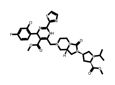 COC(=O)C1=C(CN2CCN3C(=O)N([C@@H]4C[C@H](C(=O)OC)N(C(C)C)C4)C[C@@H]3C2)NC(c2nccs2)=NC1c1ccc(F)cc1Cl